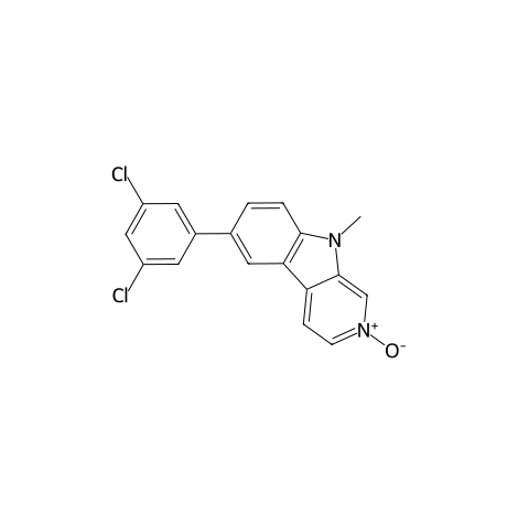 Cn1c2ccc(-c3cc(Cl)cc(Cl)c3)cc2c2cc[n+]([O-])cc21